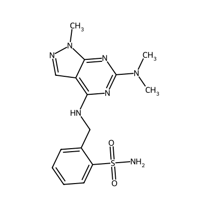 CN(C)c1nc(NCc2ccccc2S(N)(=O)=O)c2cnn(C)c2n1